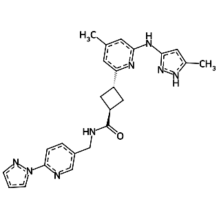 Cc1cc(Nc2cc(C)[nH]n2)nc([C@H]2C[C@H](C(=O)NCc3ccc(-n4cccn4)nc3)C2)c1